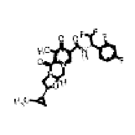 CC1C[C@@H]1C1CN2C(=O)c3c(O)c(=O)c(C(=O)N[C@@H](c4ccc(F)cc4F)C(F)F)cn3C[C@H]2O1